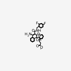 COC(=O)CCc1cccnc1C1(O)C(=O)C(C(=O)NCc2ccc(F)cc2F)=C(N)c2ccccc21